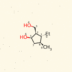 CC[C@H]1[C@H](CO)[C@H](O)C[C@@H]1C